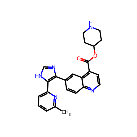 Cc1cccc(-c2[nH]cnc2-c2ccc3nccc(C(=O)OC4CCNCC4)c3c2)n1